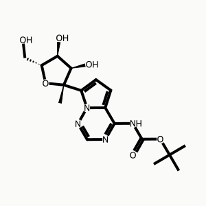 CC(C)(C)OC(=O)Nc1ncnn2c([C@]3(C)O[C@H](CO)[C@@H](O)[C@H]3O)ccc12